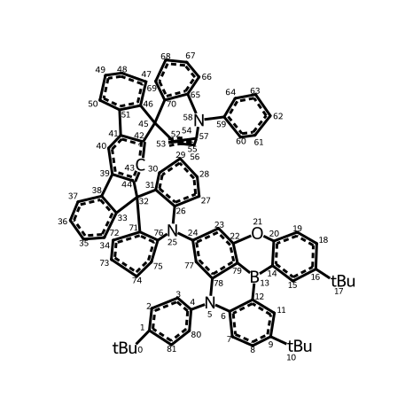 CC(C)(C)c1ccc(N2c3ccc(C(C)(C)C)cc3B3c4cc(C(C)(C)C)ccc4Oc4cc(N5c6ccccc6C6(c7ccccc7-c7cc8c(cc76)C6(c7ccccc7-8)c7ccccc7N(c7ccccc7)c7ccccc76)c6ccccc65)cc2c43)cc1